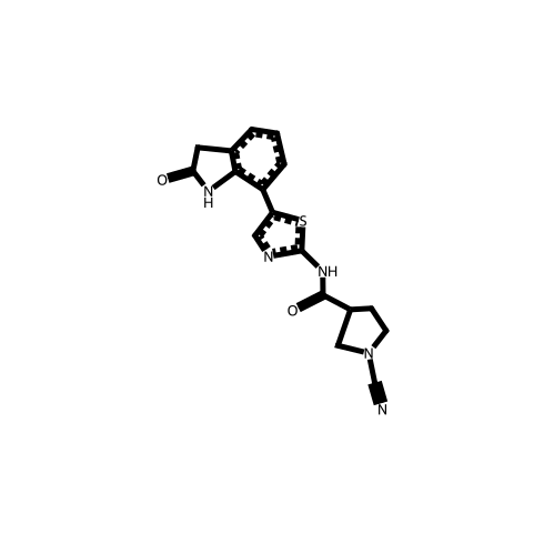 N#CN1CCC(C(=O)Nc2ncc(-c3cccc4c3NC(=O)C4)s2)C1